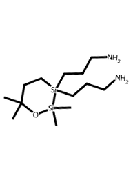 CC1(C)CC[Si](CCCN)(CCCN)[Si](C)(C)O1